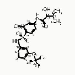 CC(C)[C@H](O)C(=O)Nc1ccc(S(=O)(=O)Nc2cccc(OC(F)(F)F)c2)c(Cl)c1